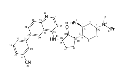 CCC[C@H]1C[C@H](N(C)C(C)C)CC[C@@H]1N1CC[C@H](Nc2ncnc3ccc(-c4cccc(C#N)c4)cc23)C1=O